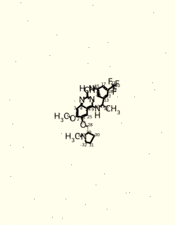 COc1cc2nc(C)nc(N[C@H](C)c3cc(N)cc(C(F)(F)F)c3)c2cc1OC[C@@H]1CCCN1C